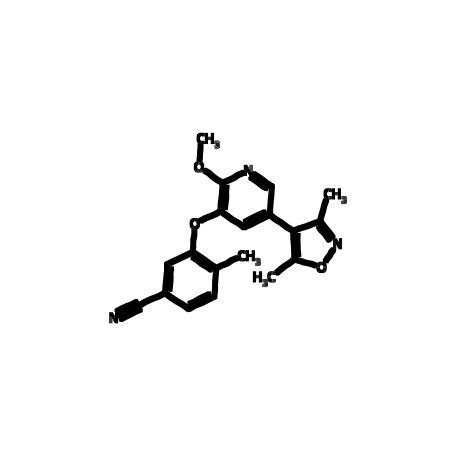 COc1ncc(-c2c(C)noc2C)cc1Oc1cc(C#N)ccc1C